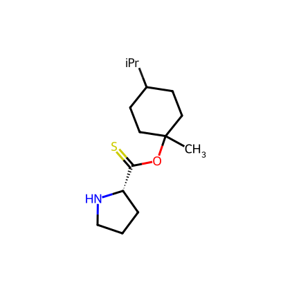 CC(C)C1CCC(C)(OC(=S)[C@@H]2CCCN2)CC1